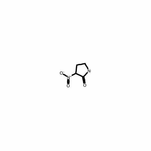 O=C1[N]CCC1[N+](=O)[O-]